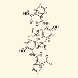 CC(=O)C1C2C=CC(C2)C1C(=O)Nc1cc(C(c2ccc(O)c(NC(=O)C3C4C=CC(C4)C3C(=O)O)c2)(C(F)(F)F)C(F)(F)F)ccc1O